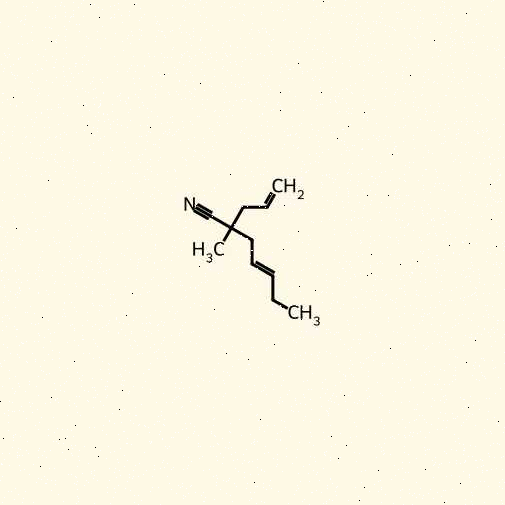 C=CCC(C)(C#N)CC=CCC